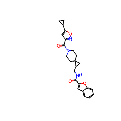 O=C(NCC1CC12CCN(C(=O)c1cc(C3CC3)on1)CC2)c1cc2ccccc2o1